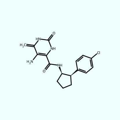 C=C1NC(=O)NC(C(=O)N[C@@H]2CCC[C@@H]2c2ccc(Cl)cc2)=C1N